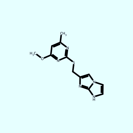 COc1cc(C)nc(SCc2cn3cc[nH]c3n2)n1